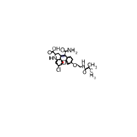 CC(C)C(=O)NCCOc1ccc(/C(C(N)=O)=C2/CC(C(=O)O)Nc3cc(Cl)cc(Cl)c32)cc1